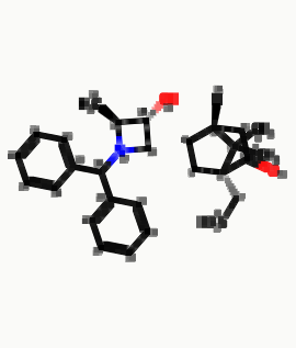 CC1(C)[C@@H]2CC[C@]1(CS(=O)(=O)O)C(=O)C2.C[C@H]1[C@H](O)CN1C(c1ccccc1)c1ccccc1